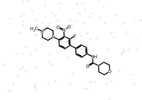 CN1CCN(c2ccc(-c3ccc(NC(=O)C4CCOCC4)cc3)c(F)c2[N+](=O)[O-])CC1